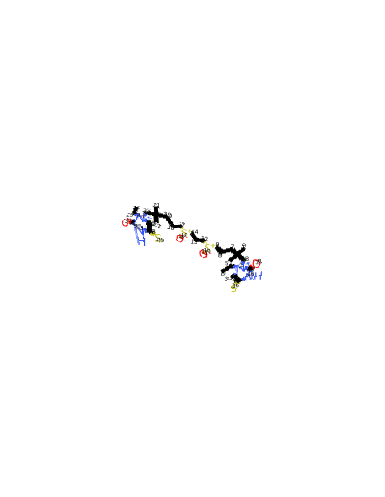 CC[N+]1(CC(C)(C)CCC[S+]([O-])CCC[S+]([O-])CCCC(C)(C)C[N+]2(CC)CC(=S)NC2=O)CC(=S)NC1=O